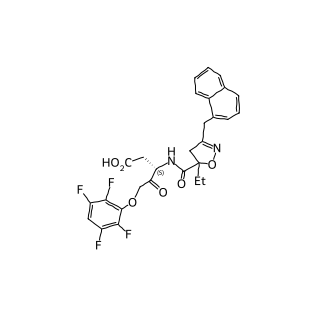 CCC1(C(=O)N[C@@H](CC(=O)O)C(=O)COc2c(F)c(F)cc(F)c2F)CC(Cc2cccc3ccccc23)=NO1